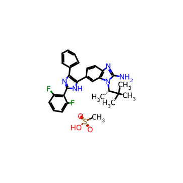 CS(=O)(=O)O.C[C@H](n1c(N)nc2ccc(-c3[nH]c(-c4c(F)cccc4F)nc3-c3ccccc3)cc21)C(C)(C)C